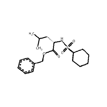 CC(C)C[C@H](NS(=O)(=O)C1CCCCC1)C(=O)OCc1ccccc1